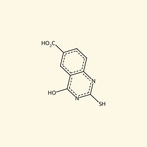 O=C(O)c1ccc2nc(S)nc(O)c2c1